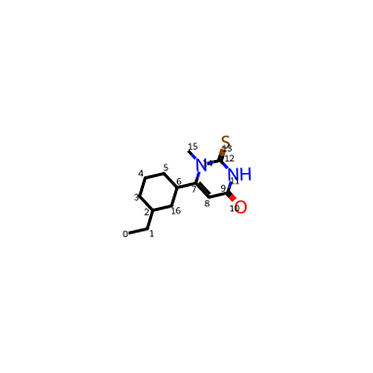 CCC1CCCC(c2cc(=O)[nH]c(=S)n2C)C1